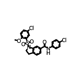 COc1ccc(Cl)cc1S(=O)(=O)N1CCc2ccc(C(=O)Nc3ccc(Cl)cc3)cc21